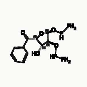 O=C(c1ccccc1)[C@@H]1O[C@@H](OPP)[C@@H](OPP)[C@@H]1O